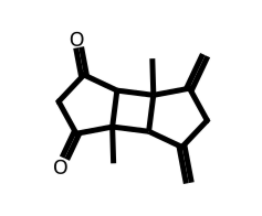 C=C1CC(=C)C2(C)C1C1(C)C(=O)CC(=O)C21